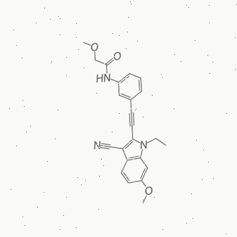 CCn1c(C#Cc2cccc(NC(=O)COC)c2)c(C#N)c2ccc(OC)cc21